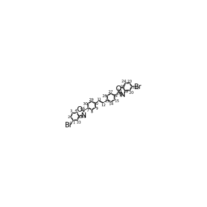 Brc1ccc2oc(-c3ccc(C=Cc4ccc(-c5nc6cc(Br)ccc6o5)cc4)cc3)nc2c1